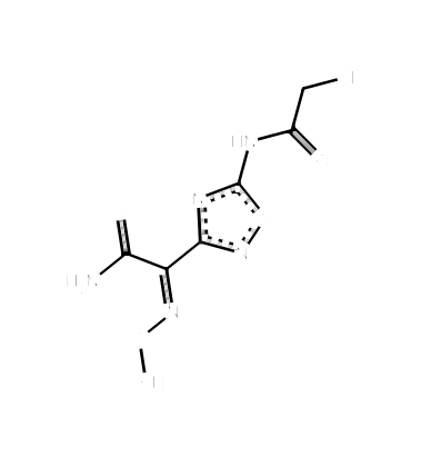 CON=C(C(N)=O)c1nsc(NC(=O)CCl)n1